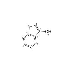 OC1=CCc2ccccc21